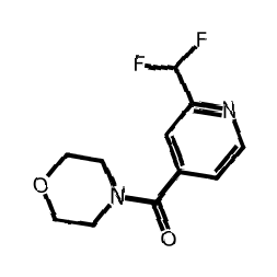 O=C(c1ccnc(C(F)F)c1)N1CCOCC1